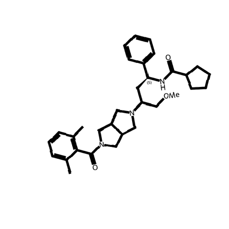 COCC(C[C@H](NC(=O)C1CCCC1)c1ccccc1)N1CC2CN(C(=O)c3c(C)cccc3C)CC2C1